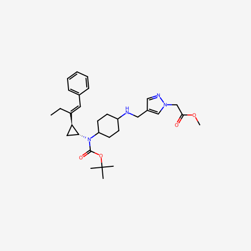 CCC(=Cc1ccccc1)[C@@H]1C[C@H]1N(C(=O)OC(C)(C)C)C1CCC(NCc2cnn(CC(=O)OC)c2)CC1